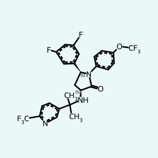 CC(C)(N[C@H]1C[C@@H](c2cc(F)cc(F)c2)N(c2ccc(OC(F)(F)F)cc2)C1=O)c1ccc(C(F)(F)F)nc1